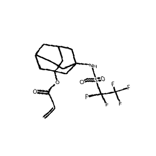 C=CC(=O)OC12CC3CC(CC(NS(=O)(=O)C(F)(F)C(F)(F)F)(C3)C1)C2